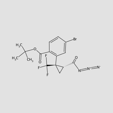 CC(C)(C)OC(=O)c1ccc(Br)cc1[C@@]1(C(F)(F)F)C[C@H]1C(=O)N=[N+]=[N-]